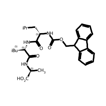 CC[C@H](C)[C@H](NC(=O)[C@H](CC(C)C)NC(=O)OCC1c2ccccc2-c2ccccc21)C(=O)N[C@@H](C)C(=O)O